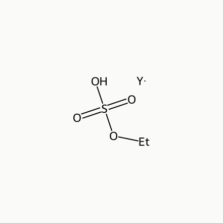 CCOS(=O)(=O)O.[Y]